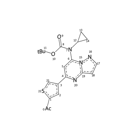 CC(=O)c1cc(-c2cc(N(C(=O)OC(C)(C)C)C3CC3)n3nccc3n2)cs1